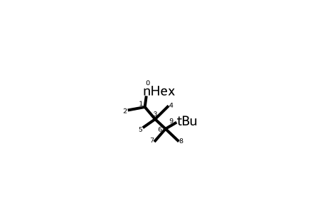 CCCCCCC(C)C(C)(C)C(C)(C)C(C)(C)C